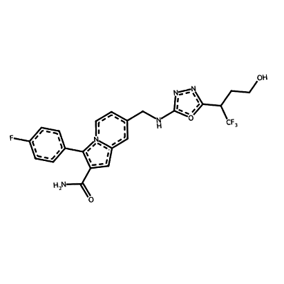 NC(=O)c1cc2cc(CNc3nnc(C(CCO)C(F)(F)F)o3)ccn2c1-c1ccc(F)cc1